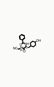 N#CCNC(=O)[C@H](CC1CCC(O)CC1)NC(=O)c1ccccc1